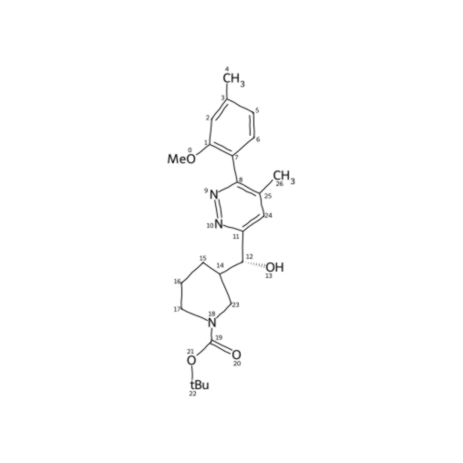 COc1cc(C)ccc1-c1nnc([C@H](O)C2CCCN(C(=O)OC(C)(C)C)C2)cc1C